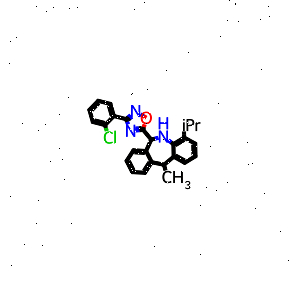 CC(C)c1cccc2c1NC(c1nc(-c3ccccc3Cl)no1)c1ccccc1C2C